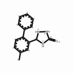 Cc1ccc(-c2ccccc2)c(C2NNC(=O)N2)c1